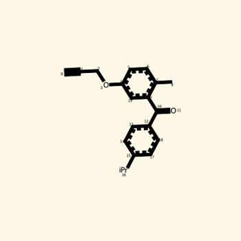 C#CCOc1ccc(C)c(C(=O)c2ccc(C(C)C)cc2)c1